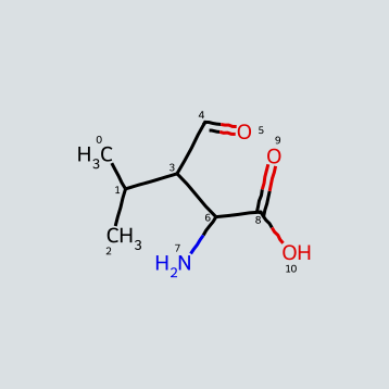 CC(C)C(C=O)C(N)C(=O)O